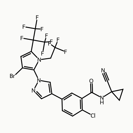 N#CC1(NC(=O)c2cc(-c3cnn(-c4c(Br)cc(C(F)(C(F)(F)F)C(F)(F)F)n4CC(F)(F)F)c3)ccc2Cl)CC1